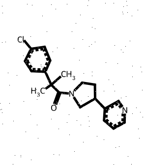 CC(C)(C(=O)N1CCC(c2cccnc2)C1)c1ccc(Cl)cc1